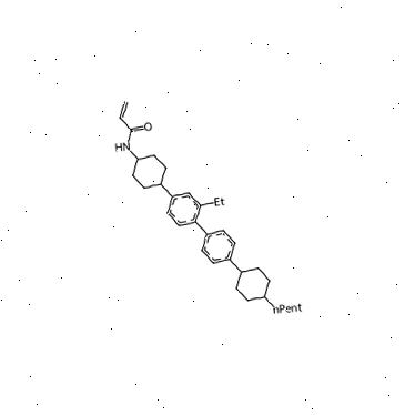 C=CC(=O)NC1CCC(c2ccc(-c3ccc(C4CCC(CCCCC)CC4)cc3)c(CC)c2)CC1